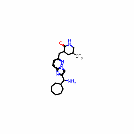 N[C@H](c1cn2nc(CC3C[C@H](C(F)(F)F)CNC3=O)ccc2n1)C1CCCCCC1